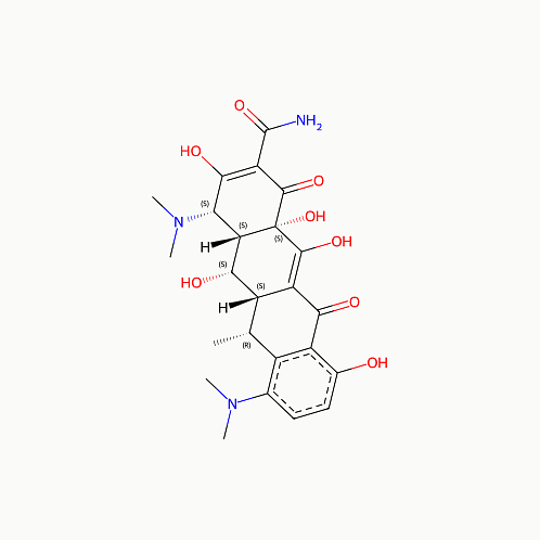 C[C@H]1c2c(N(C)C)ccc(O)c2C(=O)C2=C(O)[C@]3(O)C(=O)C(C(N)=O)=C(O)[C@@H](N(C)C)[C@H]3[C@@H](O)[C@H]21